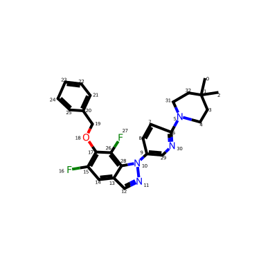 CC1(C)CCN(c2ccc(-n3ncc4cc(F)c(OCc5ccccc5)c(F)c43)cn2)CC1